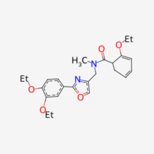 CCOC1=CC=CCC1C(=O)N(C)Cc1coc(-c2ccc(OCC)c(OCC)c2)n1